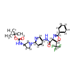 CC(C)(C)OC(=O)N[C@@H]1CCN(c2ccc(NC(=O)c3nc(-c4ccccc4)oc3C(F)(F)F)cn2)C1